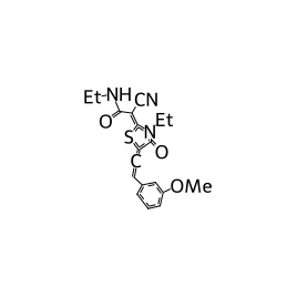 CCNC(=O)/C(C#N)=c1\sc(=C=Cc2cccc(OC)c2)c(=O)n1CC